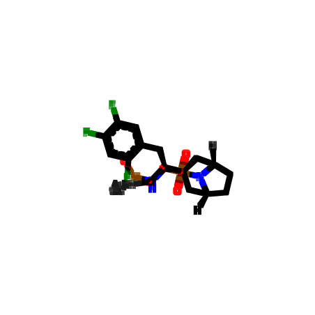 CC(=O)NCCS(=O)(=O)N1[C@@H]2CC[C@H]1C[C@H]([C@H](Cc1cc(F)c(F)cc1F)N[S@@+]([O-])C(C)(C)C)C2